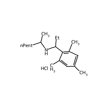 CCCCCC(C)NC(CC)c1c(C)cc(C)cc1C.Cl